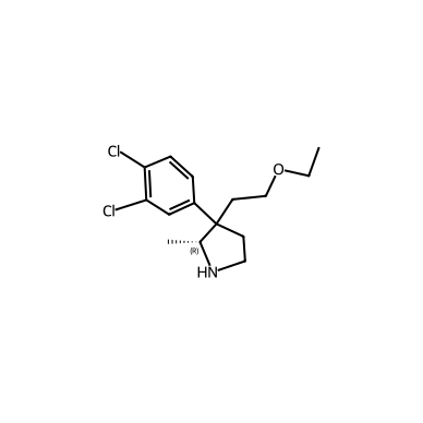 CCOCCC1(c2ccc(Cl)c(Cl)c2)CCN[C@@H]1C